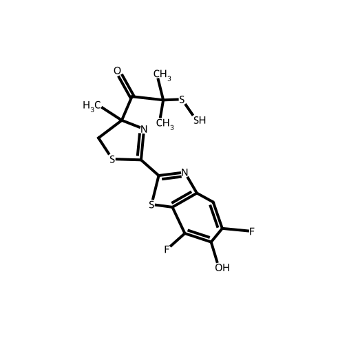 CC1(C(=O)C(C)(C)SS)CSC(c2nc3cc(F)c(O)c(F)c3s2)=N1